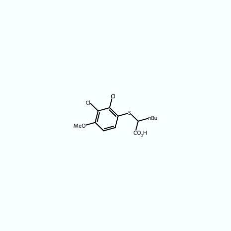 CCCCC(Sc1ccc(OC)c(Cl)c1Cl)C(=O)O